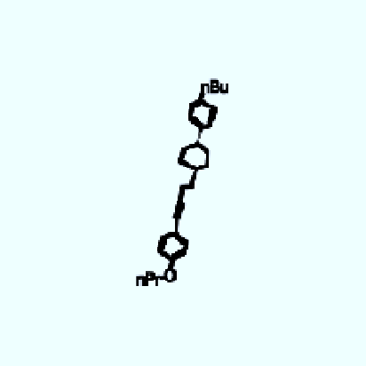 CCCCc1ccc([C@H]2CC[C@H](C=CC#Cc3ccc(OCCC)cc3)CC2)cc1